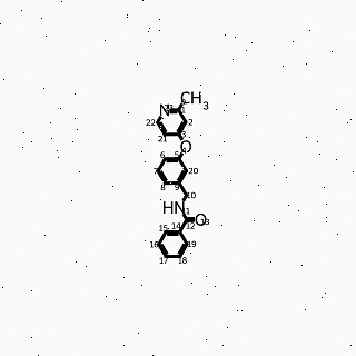 Cc1cc(Oc2cccc(CNC(=O)c3ccccc3)c2)ccn1